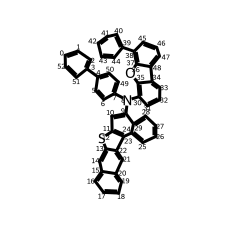 c1ccc(-c2ccc(N(c3cc4sc5cc6ccccc6cc5c4c4ccccc34)c3cccc4c3oc3c(-c5ccccc5)cccc34)cc2)cc1